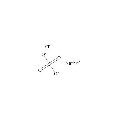 O=S(=O)([O-])[O-].[Cl-].[Fe+2].[Na+]